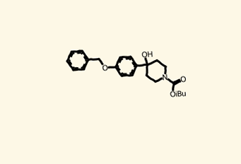 CC(C)COC(=O)N1CCC(O)(c2ccc(OCc3ccccc3)cc2)CC1